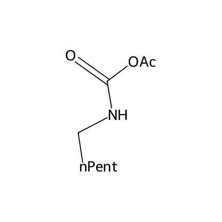 CCCCCCNC(=O)OC(C)=O